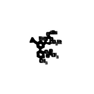 CCOC(=O)C[C@H](NC(=O)OC(C)(C)C)c1cc(-c2ccc(C)cc2OS(=O)(=O)C(F)(F)F)cc(C2CC2)c1F